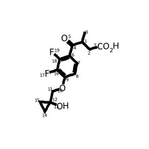 CC(CC(=O)O)C(=O)c1ccc(OCC2(O)CC2)c(F)c1F